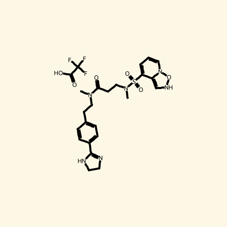 CN(CCc1ccc(C2=NCCN2)cc1)C(=O)CCN(C)S(=O)(=O)C1=CC=CN2ONC=C12.O=C(O)C(F)(F)F